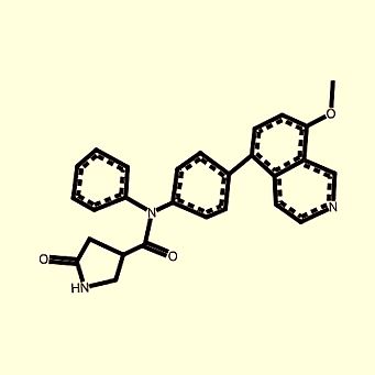 COc1ccc(-c2ccc(N(C(=O)C3CNC(=O)C3)c3ccccc3)cc2)c2ccncc12